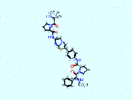 CC(C)[C@H](NC(=O)O)C(=O)N1CCCC1C(=O)Nc1cn2cc(-c3ccc(NC(=O)[C@@H]4CCCN4C(=O)[C@@H](NC(=O)O)c4ccccc4)cc3)sc2n1